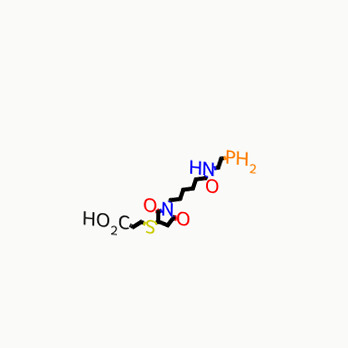 O=C(O)CCSC1CC(=O)N(CCCCCC(=O)NCCP)C1=O